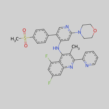 Cc1c(-c2ccccn2)nc2cc(F)cc(F)c2c1Nc1cc(N2CCOCC2)ncc1-c1ccc(S(C)(=O)=O)cc1